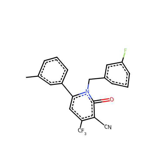 Cc1cccc(-c2cc(C(F)(F)F)c(C#N)c(=O)n2Cc2cccc(F)c2)c1